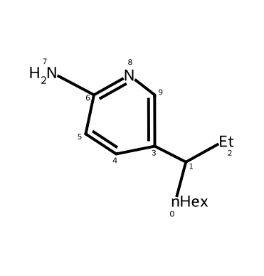 CCCCCCC(CC)c1ccc(N)nc1